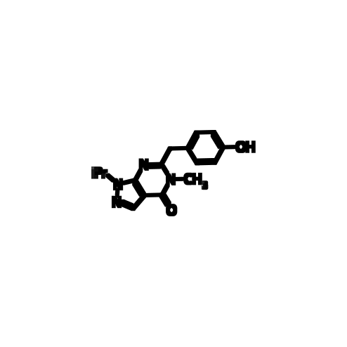 CC(C)n1ncc2c(=O)n(C)c(Cc3ccc(O)cc3)nc21